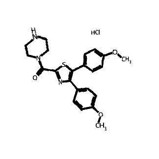 COc1ccc(-c2nc(C(=O)N3CCNCC3)sc2-c2ccc(OC)cc2)cc1.Cl